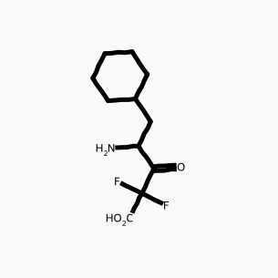 NC(CC1CCCCC1)C(=O)C(F)(F)C(=O)O